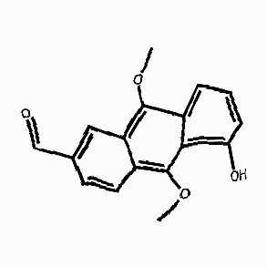 COc1c2cc(C=O)ccc2c(OC)c2c(O)cccc12